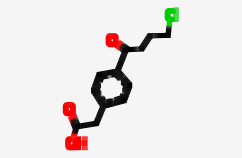 O=C(O)Cc1ccc(C(=O)CCCCl)cc1